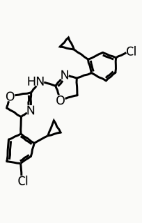 Clc1ccc(C2COC(NC3=NC(c4ccc(Cl)cc4C4CC4)CO3)=N2)c(C2CC2)c1